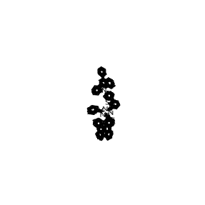 c1ccc(-c2nc(-c3ccc4c(c3)C3(c5ccccc5-c5ccccc53)c3ccccc3-4)nc(-c3cccc4c3sc3cc(-n5c6ccccc6c6cc(-c7ccccc7)c7ccccc7c65)ccc34)n2)cc1